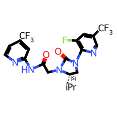 CC(C)[C@H]1CN(c2ncc(C(F)(F)F)cc2F)C(=O)N1CC(=O)Nc1cc(C(F)(F)F)ccn1